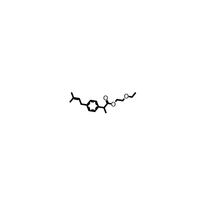 CCOCCOC(=O)C(C)c1ccc(CC=C(C)C)cc1